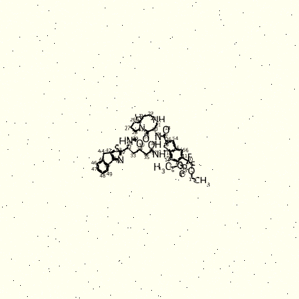 CCOP(=O)(OCC)C(F)(F)c1ccc2sc(C(=O)N[C@H]3CNCC[C@H]4CC[C@@H](C(=O)N[C@@H](CCCC(N)=O)c5nc6c(s5)Cc5ccccc5-6)N4C3=O)cc2c1